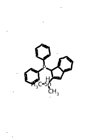 [CH3][SnH]([CH3])[C]1=Cc2ccccc2C1P(c1ccccc1)c1ccccc1